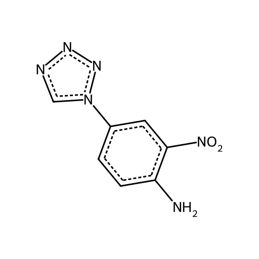 Nc1ccc(-n2cnnn2)cc1[N+](=O)[O-]